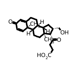 C[C@]12CC[C@H]3[C@@H](CCC4=CC(=O)C=C[C@@]43C)[C@@H]1C[C@H](CO)[C@@H]2C(=O)CCC(=O)O